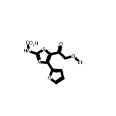 CCOCC(=O)c1sc(NC(=O)O)nc1-c1ccco1